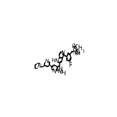 CS(=O)(=O)NCc1cc(F)cc(-c2nccc3[nH]c(-c4n[nH]c5ncc(-c6cncc(CN7CCCCC7)c6)cc45)cc23)c1